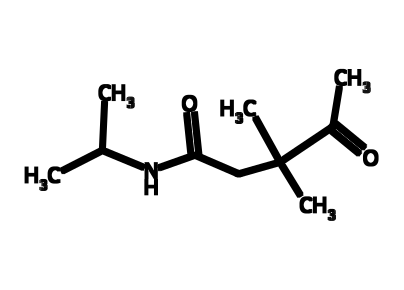 CC(=O)C(C)(C)CC(=O)NC(C)C